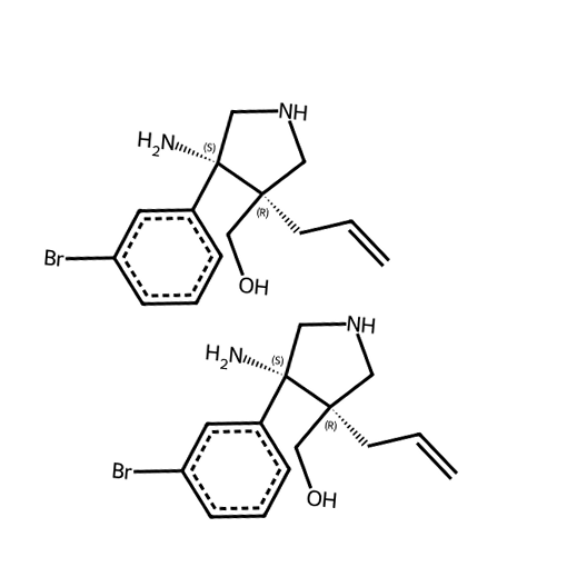 C=CC[C@@]1(CO)CNC[C@]1(N)c1cccc(Br)c1.C=CC[C@@]1(CO)CNC[C@]1(N)c1cccc(Br)c1